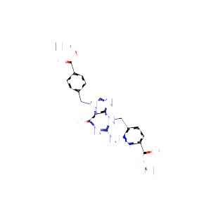 COC(=O)c1ccc(Cn2cnc3c2c(=O)nc(N)n3Cc2ccc(C(=O)OC)cc2)cc1